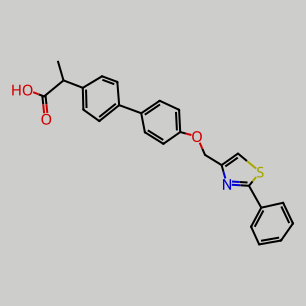 CC(C(=O)O)c1ccc(-c2ccc(OCc3csc(-c4ccccc4)n3)cc2)cc1